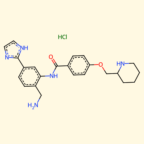 Cl.NCc1ccc(-c2ncc[nH]2)cc1NC(=O)c1ccc(OCC2CCCCN2)cc1